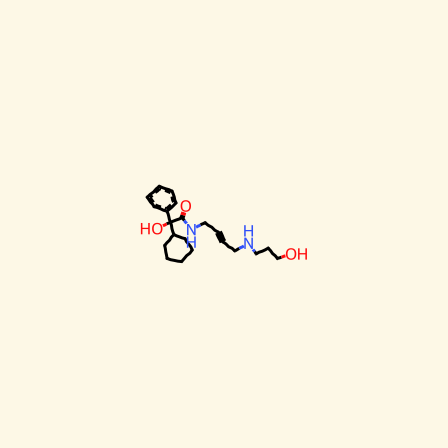 O=C(NCC#CCNCCCO)C(O)(c1ccccc1)C1CCCCC1